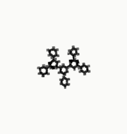 c1ccc(-c2cc(-c3cc(-c4ccccc4)nc(-c4ccccc4)n3)cc(-c3cc(-c4ccccc4)nc(-c4ccccc4)n3)c2)cc1